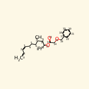 C=C/C=C\CCC[C@H](C)C[C@@H](OC(=O)COCc1ccccc1)C(C)C